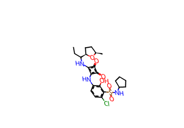 CCC(Nc1c(Nc2ccc(Cl)c(S(=O)(=O)NC3CCCC3)c2O)c(=O)c1=O)[C@H]1CC[C@@H](C)O1